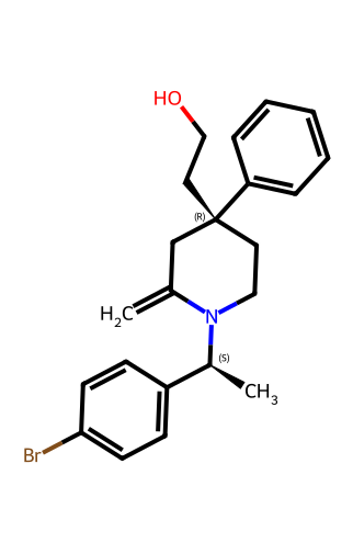 C=C1C[C@](CCO)(c2ccccc2)CCN1[C@@H](C)c1ccc(Br)cc1